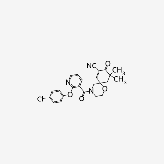 CC1(C)CC2(C=C(C#N)C1=O)CN(C(=O)c1cccnc1Oc1ccc(Cl)cc1)CCO2